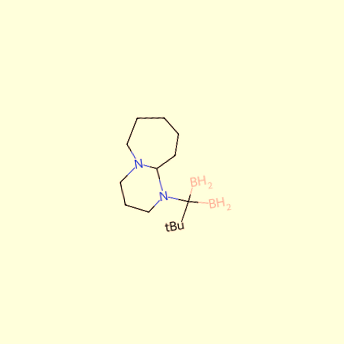 BC(B)(N1CCCN2CCCCCC21)C(C)(C)C